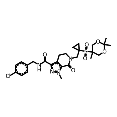 Cn1nc(C(=O)NCc2ccc(Cl)cc2)c2c1C(=O)N(CC1(S(=O)(=O)C3(C)COC(C)(C)OC3)CC1)CC2